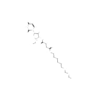 CCNCOCCCCCCNC(=O)CCC(=O)O[C@@H]1C(F)[C@H](n2ccc(=O)[nH]c2=O)O[C@@H]1CC